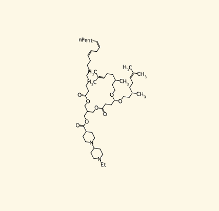 CCCCC/C=C\C/C=C\CCCCCCCC(=O)OCC(COC(=O)CCC(OCCC(C)CCC=C(C)C)OCCC(C)CCC=C(C)C)COC(=O)C1CCN(C2CCN(CC)CC2)CC1